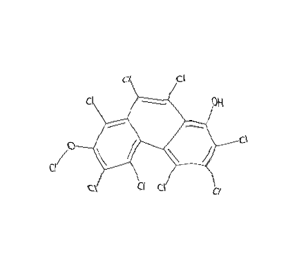 Oc1c(Cl)c(Cl)c(Cl)c2c1c(Cl)c(Cl)c1c(Cl)c(OCl)c(Cl)c(Cl)c12